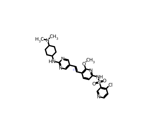 COc1nc(NS(=O)(=O)c2cnccc2Cl)ccc1/C=C/c1cnc(NC2CCC(N(C)C)CC2)nc1